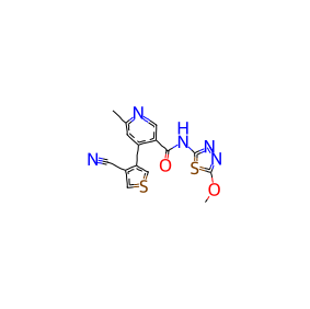 COc1nnc(NC(=O)c2cnc(C)cc2-c2cscc2C#N)s1